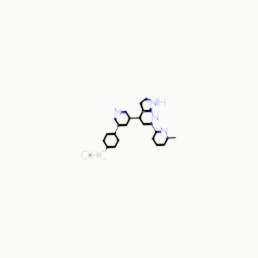 Cc1cccc(-c2cc(-c3cncc(-c4ccc(C=O)cc4)c3)c3cc[nH]c3n2)n1